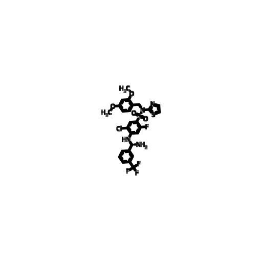 COc1ccc(CN(c2nccs2)S(=O)(=O)c2cc(Cl)c(N[C@@H](N)c3cccc(C(F)(F)F)c3)cc2F)c(OC)c1